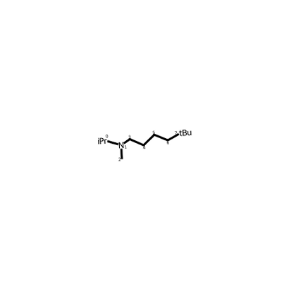 CC(C)N(C)CCCCC(C)(C)C